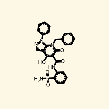 NS(=O)(=O)c1ccccc1NC(=O)c1c(O)c2cnn(-c3ccccc3)c2n(Cc2ccccc2)c1=O